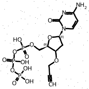 C#CCOC1C[C@H](n2ccc(N)nc2=O)O[C@@H]1COP(=O)(O)OP(=O)(O)OP(=O)(O)O